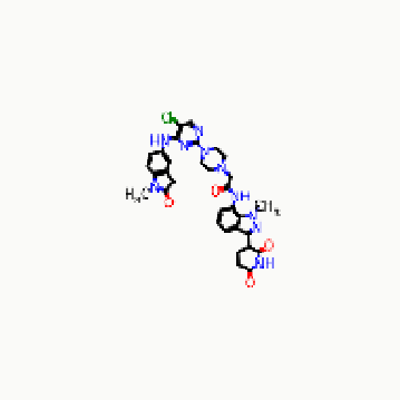 CN1C(=O)Cc2cc(Nc3nc(N4CCN(CC(=O)Nc5cccc6c(C7CCC(=O)NC7=O)nn(C)c56)CC4)ncc3Cl)ccc21